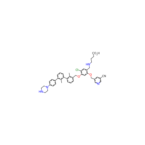 Cc1c(COc2cc(OCc3cncc(C#N)c3)c(CNCCCC(=O)O)cc2Cl)cccc1-c1cccc(-c2ccc(N3CCNCC3)cc2)c1C